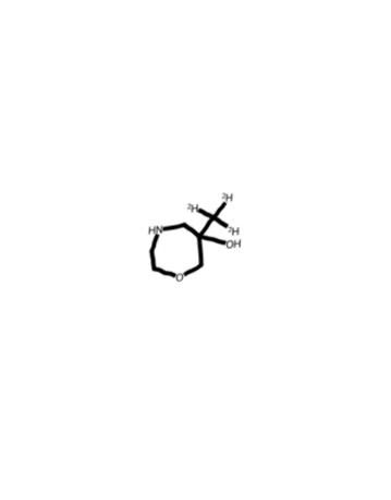 [2H]C([2H])([2H])C1(O)CNCCOC1